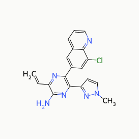 C=Cc1nc(-c2cc(Cl)c3ncccc3c2)c(-c2ccn(C)n2)nc1N